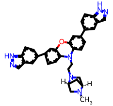 CN1C[C@@H]2C[C@H]1CN2CCN1c2ccc(-c3ccc4[nH]ncc4c3)cc2Oc2cc(-c3ccc4[nH]ncc4c3)ccc21